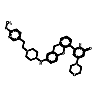 COc1ccc(CCN2CCC(Nc3ccc4c(c3)Cc3cccc(-c5cc(N6CCOCC6)cc(=O)[nH]5)c3O4)CC2)cn1